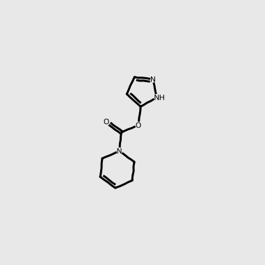 O=C(Oc1ccn[nH]1)N1CC=CCC1